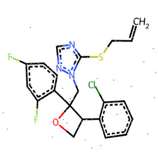 C=CCSc1ncnn1CC1(c2ccc(F)cc2F)OCC1c1ccccc1Cl